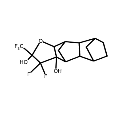 OC12C3CC(C4C5CCC(C5)C43)C1OC(O)(C(F)(F)F)C2(F)F